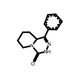 O=C1NN=C(c2ccccc2)C2CCCCN12